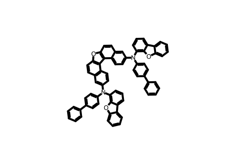 c1ccc(-c2ccc(N(c3ccc4c(ccc5oc6ccc7cc(N(c8ccc(-c9ccccc9)cc8)c8cccc9c8oc8ccccc89)ccc7c6c54)c3)c3cccc4c3oc3ccccc34)cc2)cc1